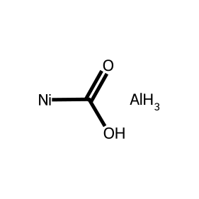 O=[C](O)[Ni].[AlH3]